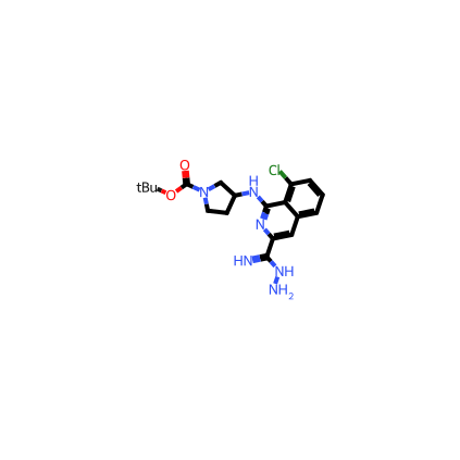 CC(C)(C)OC(=O)N1CCC(Nc2nc(C(=N)NN)cc3cccc(Cl)c23)C1